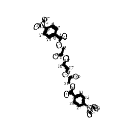 O=C(COC(=O)c1ccc([N+](=O)[O-])cc1)OCCOC(=O)COC(=O)c1ccc([N+](=O)[O-])cc1